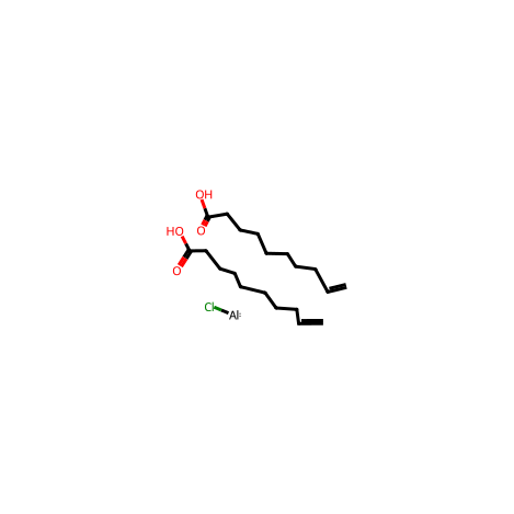 C=CCCCCCCCC(=O)O.C=CCCCCCCCC(=O)O.[Al][Cl]